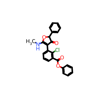 CNC1=C(c2cccc(C(=O)Oc3ccccc3)c2Cl)C(=O)C(c2ccccc2)O1